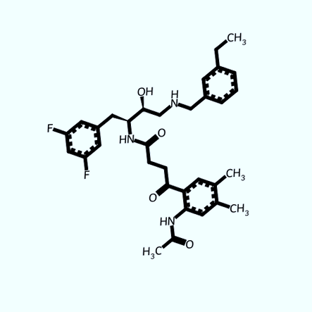 CCc1cccc(CNC[C@H](O)[C@H](Cc2cc(F)cc(F)c2)NC(=O)CCC(=O)c2cc(C)c(C)cc2NC(C)=O)c1